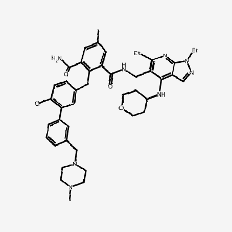 CCc1nc2c(cnn2CC)c(NC2CCOCC2)c1CNC(=O)c1cc(C)cc(C(N)=O)c1Cc1ccc(Cl)c(-c2cccc(CN3CCN(C)CC3)c2)c1